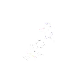 CC(C)(c1ccc(N2C[C@@]3(C(N)=O)[CH]CCN3C2=O)cc1)S(C)(=O)=O